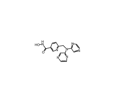 O=C(NO)c1ccc(CN(c2cnccn2)c2cnccn2)nc1